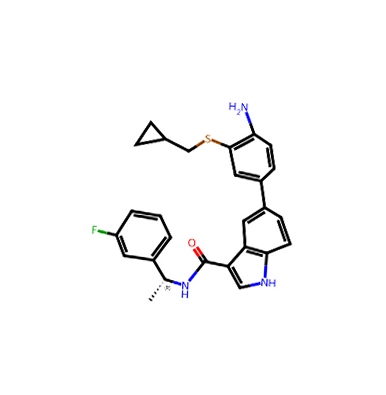 C[C@@H](NC(=O)c1c[nH]c2ccc(-c3ccc(N)c(SCC4CC4)c3)cc12)c1cccc(F)c1